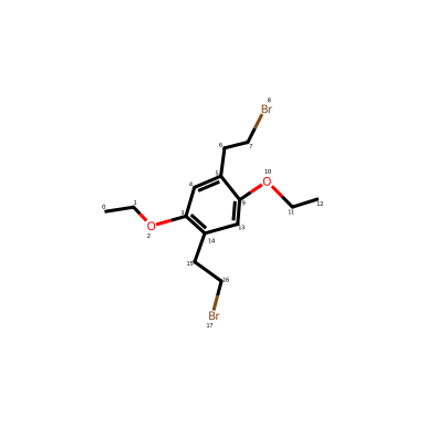 CCOc1cc(CCBr)c(OCC)cc1CCBr